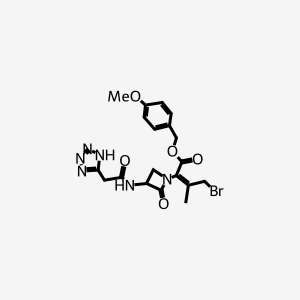 COc1ccc(COC(=O)C(=C(C)CBr)N2CC(NC(=O)Cc3nnn[nH]3)C2=O)cc1